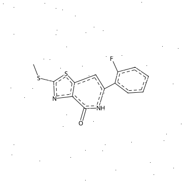 CSc1nc2c(=O)[nH]c(-c3ccccc3F)cc2s1